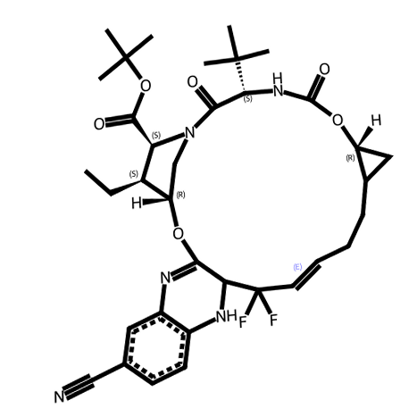 CC[C@@H]1[C@@H]2CN(C(=O)[C@H](C(C)(C)C)NC(=O)O[C@@H]3CC3CC/C=C/C(F)(F)C3Nc4ccc(C#N)cc4N=C3O2)[C@@H]1C(=O)OC(C)(C)C